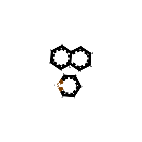 c1cc[s+]cc1.c1ccc2ccccc2c1